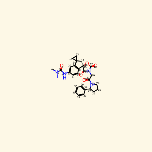 CNC(=O)Nc1ccc2c(c1)C1(CC1)C[C@@]21OC(=O)N(CC(=O)N2CCC[C@H]2c2ccccc2)C1=O